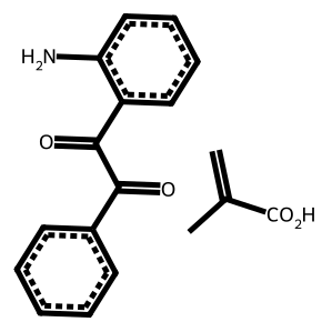 C=C(C)C(=O)O.Nc1ccccc1C(=O)C(=O)c1ccccc1